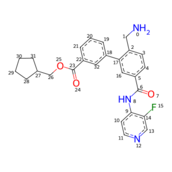 NCc1ccc(C(=O)Nc2ccncc2F)cc1-c1cccc(C(=O)OCC2CCCC2)c1